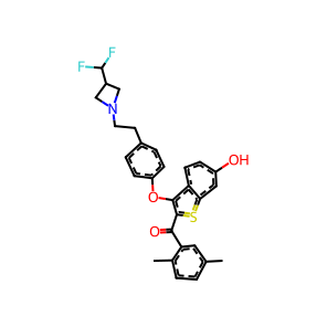 Cc1ccc(C)c(C(=O)c2sc3cc(O)ccc3c2Oc2ccc(CCN3CC(C(F)F)C3)cc2)c1